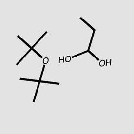 CC(C)(C)OC(C)(C)C.CCC(O)O